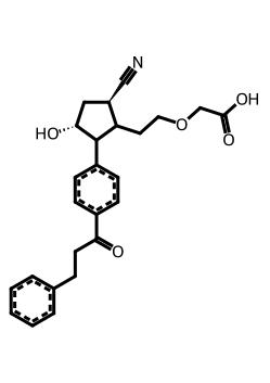 N#C[C@@H]1C[C@@H](O)C(c2ccc(C(=O)CCc3ccccc3)cc2)C1CCOCC(=O)O